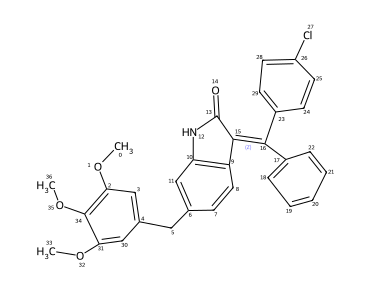 COc1cc(Cc2ccc3c(c2)NC(=O)/C3=C(/c2ccccc2)c2ccc(Cl)cc2)cc(OC)c1OC